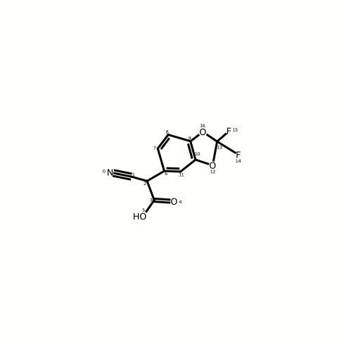 N#CC(C(=O)O)c1ccc2c(c1)OC(F)(F)O2